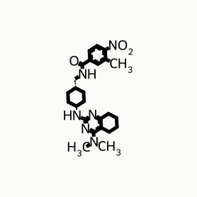 Cc1cc(C(=O)NC[C@H]2CC[C@@H](Nc3nc4c(c(N(C)C)n3)CCCC4)CC2)ccc1[N+](=O)[O-]